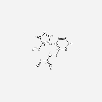 C=CC(=O)OCc1ccccc1.C=Cc1ccco1